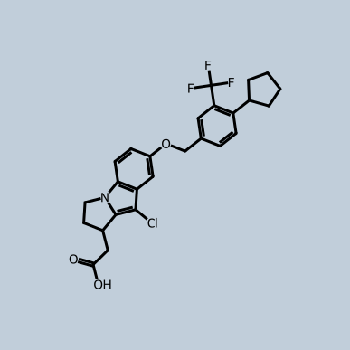 O=C(O)CC1CCn2c1c(Cl)c1cc(OCc3ccc(C4CCCC4)c(C(F)(F)F)c3)ccc12